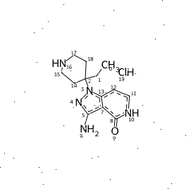 CCC1(n2nc(N)c3c(=O)[nH]ccc32)CCNCC1.Cl